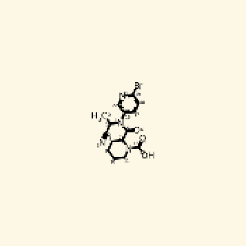 CC(C#N)N(C(=O)C1CCCCN1C(=O)O)c1ccc(Br)nc1